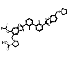 Cc1c(-c2nc3ccc(CN4CCCC4)cn3n2)cccc1-c1cccc(-c2nc3cc(CN4CCC[C@H]4C(=O)O)c(OC(F)F)cc3o2)c1C